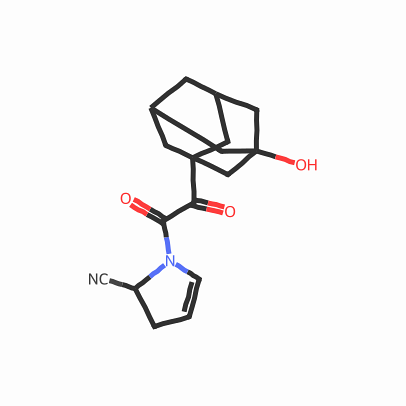 N#CC1CC=CN1C(=O)C(=O)C12CC3CC(CC(O)(C3)C1)C2